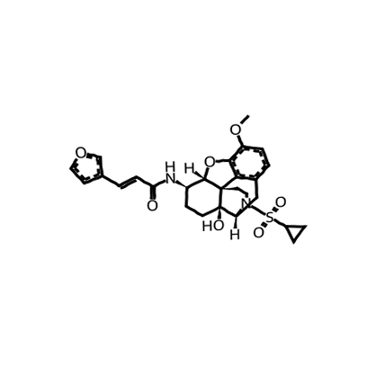 COc1ccc2c3c1O[C@H]1[C@H](NC(=O)/C=C/c4ccoc4)CC[C@@]4(O)[C@@H](C2)N(S(=O)(=O)C2CC2)CC[C@]314